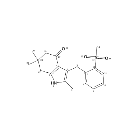 Cc1[nH]c2c(c1Cc1ccccc1S(C)(=O)=O)C(=O)CC(C)(C)C2